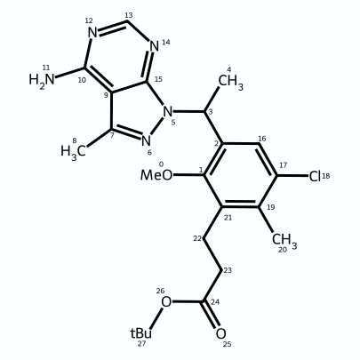 COc1c(C(C)n2nc(C)c3c(N)ncnc32)cc(Cl)c(C)c1CCC(=O)OC(C)(C)C